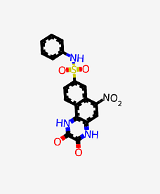 O=c1[nH]c2cc([N+](=O)[O-])c3cc(S(=O)(=O)Nc4ccccc4)ccc3c2[nH]c1=O